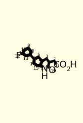 O=C(O)CC1Cc2cc(-c3cccc(F)c3)ccc2NC1=O